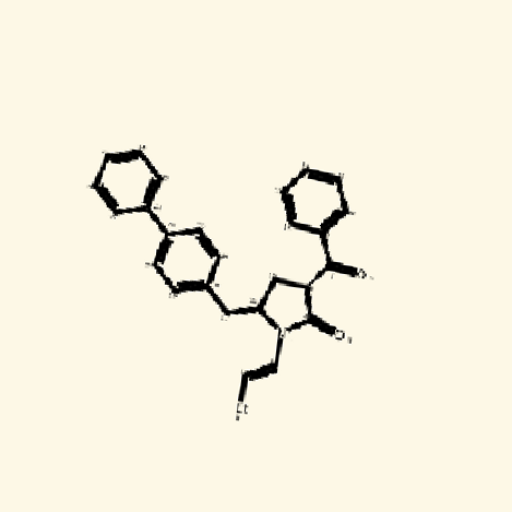 CCC=CN1C(=O)[C@H](C(=O)c2ccccc2)CC1Cc1ccc(-c2ccccc2)cc1